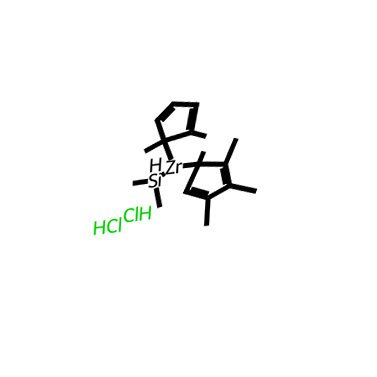 CC1=C[C](C)([Zr]([SiH](C)C)[C]2(C)C=CC=C2C)C(C)=C1C.Cl.Cl